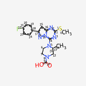 CSc1nc(N2CCN(C(=O)O)C[C@@H]2C)n2nc(-c3ccc(F)cc3)cc2n1